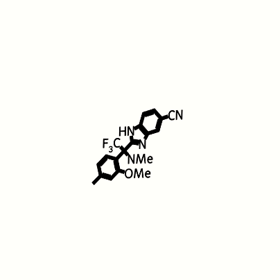 CNC(c1nc2cc(C#N)ccc2[nH]1)(c1ccc(C)cc1OC)C(F)(F)F